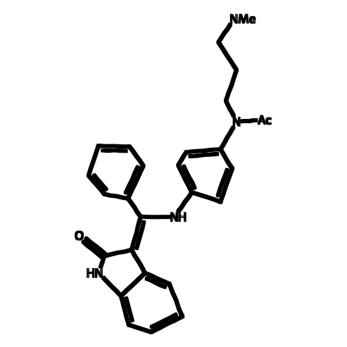 CNCCCN(C(C)=O)c1ccc(NC(=C2C(=O)Nc3ccccc32)c2ccccc2)cc1